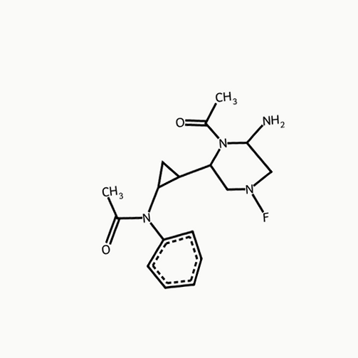 CC(=O)N(c1ccccc1)C1CC1C1CN(F)CC(N)N1C(C)=O